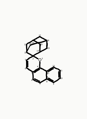 C1=CC2(Oc3c1ccc1ccccc31)C1CC3CC(C1)CC2C3